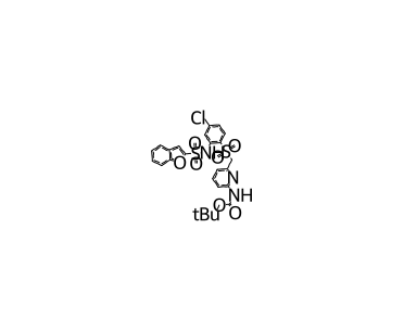 CC(C)(C)OC(=O)Nc1cccc(CS(=O)(=O)c2ccc(Cl)cc2NS(=O)(=O)c2cc3ccccc3o2)n1